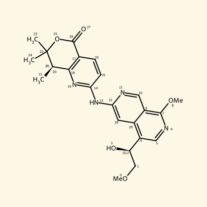 COC[C@@H](O)c1cnc(OC)c2cnc(Nc3ccc4c(n3)[C@@H](C)C(C)(C)OC4=O)cc12